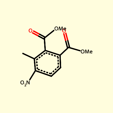 COC(=O)c1ccc([N+](=O)[O-])c(C)c1C(=O)OC